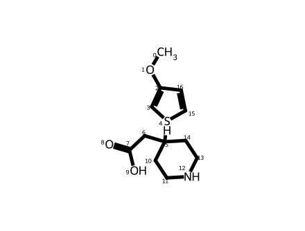 COC1=C[SH](C2(CC(=O)O)CCNCC2)C=C1